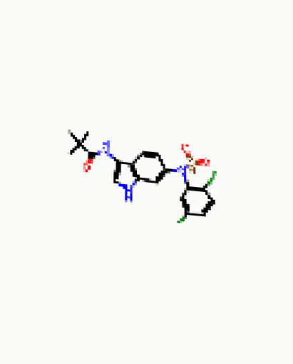 CC(C)(C)C(=O)Nc1c[nH]c2cc(N(c3cc(F)ccc3F)[SH](=O)=O)ccc12